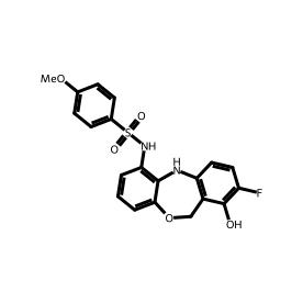 COc1ccc(S(=O)(=O)Nc2cccc3c2Nc2ccc(F)c(O)c2CO3)cc1